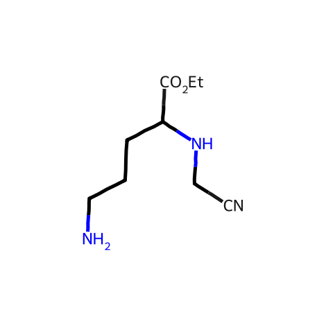 CCOC(=O)C(CCCN)NCC#N